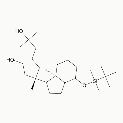 CC(C)(O)CCC[C@@](C)(CCO)C1CCC2C(O[Si](C)(C)C(C)(C)C)CCC[C@@]21C